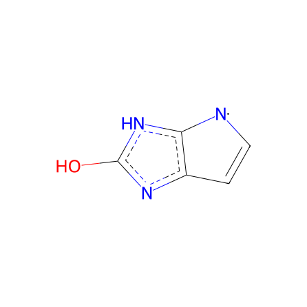 Oc1nc2c([nH]1)[N]C=C2